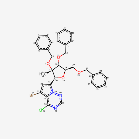 C[C@@]1(OCc2ccccc2)[C@H](OCc2ccccc2)[C@@H](COCc2ccccc2)O[C@H]1c1cc(Br)c2c(Cl)ncnn12